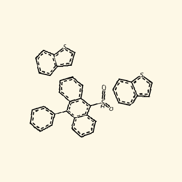 O=[SH](=O)c1c2ccccc2c(-c2ccccc2)c2ccccc12.c1ccc2sccc2c1.c1ccc2sccc2c1